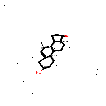 C[C@@H]1C=C2C[C@@H](O)CC[C@]2(C)C2CC[C@]3(C)C(=O)CCC3C21